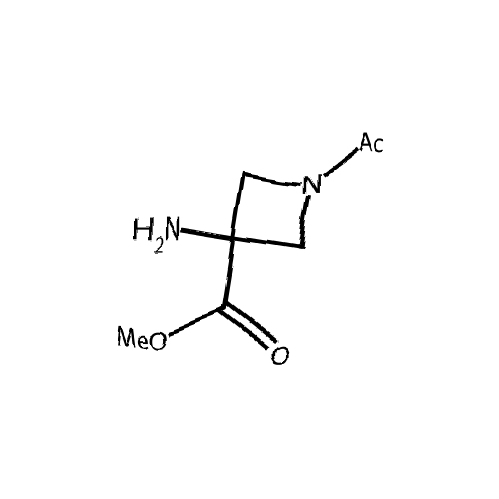 COC(=O)C1(N)CN(C(C)=O)C1